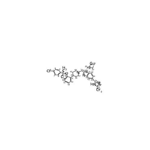 CC1(c2ccc(Cl)cc2)Oc2cccc(C3CCN(Cc4nc5cc(-c6nnc(C(F)(F)F)[nH]6)ccc5n4C[C@@H]4CCO4)CC3)c2O1